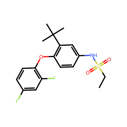 CCS(=O)(=O)Nc1ccc(Oc2ccc(F)cc2F)c(C(C)(C)C)c1